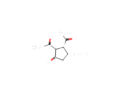 COC(=O)C1C(=O)C[C@@H](C(=O)O)[C@@H]1C(=O)OC